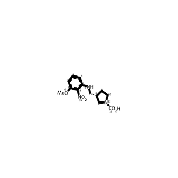 COc1cccc(NC[C@@H]2CCN(C(=O)O)C2)c1[N+](=O)[O-]